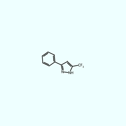 FC(F)(F)c1[c]c(-c2ccccc2)n[nH]1